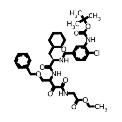 CCOC(=O)CNC(=O)C(=O)C(COCc1ccccc1)NC(=O)[C@@H](CC1CCCCC1)NC(=O)c1ccc(Cl)c(NC(=O)OC(C)(C)C)c1